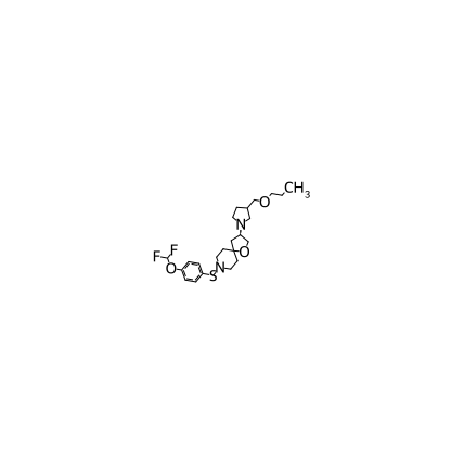 CCCOCC1CCN([C@H]2COC3(CCN(Sc4ccc(OC(F)F)cc4)CC3)C2)C1